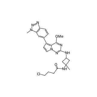 COc1nc(NC2CC(C)(NC(=O)CCCCl)C2)nn2ccc(-c3ccc4nnn(C)c4c3)c12